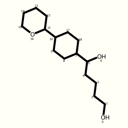 OCCCCC(O)C1CCC(C2CCCCO2)CC1